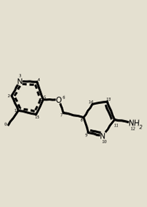 Cc1cncc(OCC2C=NC(N)=CC2)c1